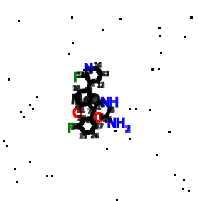 CO[C@@H]1NCC(N)OC12c1cc(-c3cccnc3F)ccc1Oc1c(F)cccc12